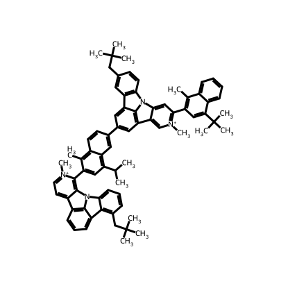 Cc1c(-c2c3c(cc[n+]2C)c2cccc4c5c(CC(C)(C)C)cccc5n3c24)cc(C(C)C)c2cc(-c3cc4c5cc(CC(C)(C)C)ccc5n5c6cc(-c7cc(C(C)(C)C)c8ccccc8c7C)[n+](C)cc6c(c3)c45)ccc12